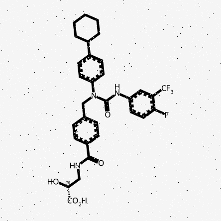 O=C(NC[C@@H](O)C(=O)O)c1ccc(CN(C(=O)Nc2ccc(F)c(C(F)(F)F)c2)c2ccc(C3CCCCC3)cc2)cc1